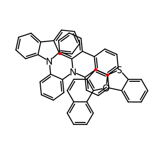 c1ccc(N(c2ccc3c(c2)sc2ccccc23)c2ccccc2-n2c3ccccc3c3ccccc32)c(-c2cccc3oc4c5ccccc5ccc4c23)c1